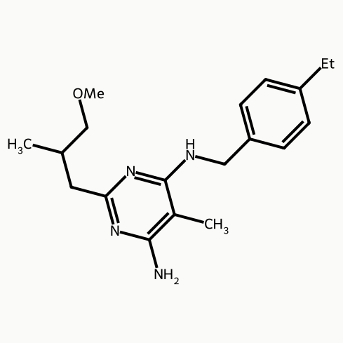 CCc1ccc(CNc2nc(CC(C)COC)nc(N)c2C)cc1